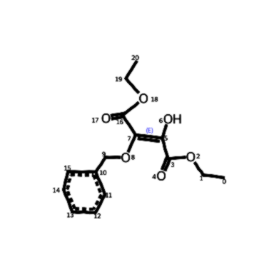 CCOC(=O)/C(O)=C(\OCc1ccccc1)C(=O)OCC